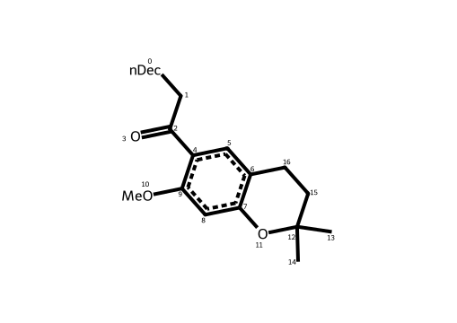 CCCCCCCCCCCC(=O)c1cc2c(cc1OC)OC(C)(C)CC2